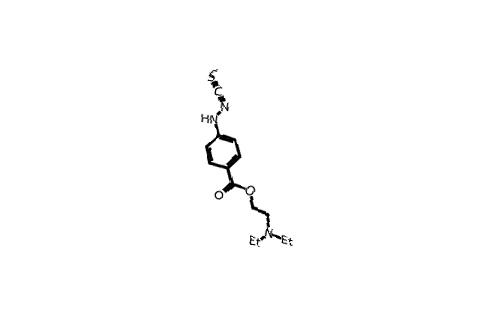 CCN(CC)CCOC(=O)c1ccc(NN=C=S)cc1